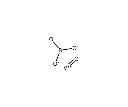 [O-]B([O-])[O-].[O]=[V+3]